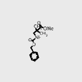 COC(=O)C(C)(C)CNC(=O)OCc1ccccc1